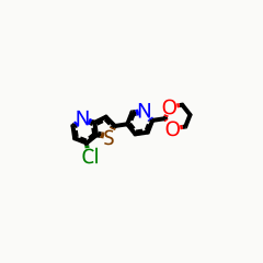 Clc1ccnc2cc(-c3ccc(C4OCCCO4)nc3)sc12